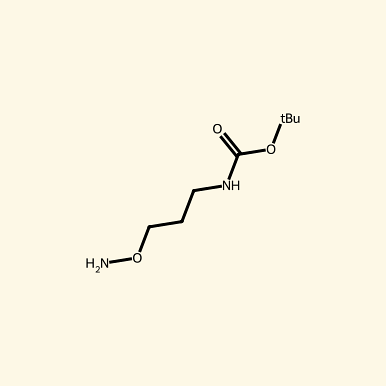 CC(C)(C)OC(=O)NCCCON